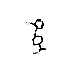 COC(=O)C1CCC(Oc2ccncc2N)CC1